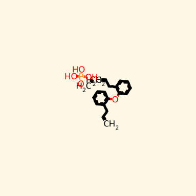 C=C.C=CCc1ccccc1Oc1ccccc1CC=C.O=P(O)(O)O